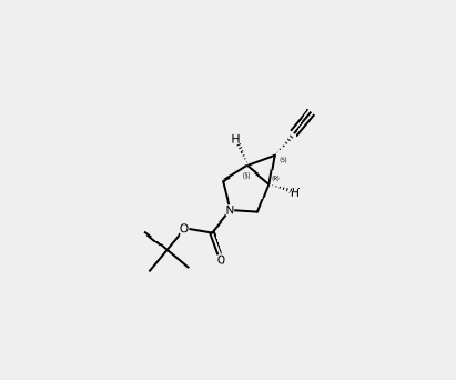 C#C[C@@H]1[C@H]2CN(C(=O)OC(C)(C)C)C[C@@H]12